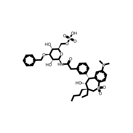 CCCC[C@]1(CC)CS(=O)(=O)c2ccc(N(C)C)cc2[C@@H](c2cccc(CC(=O)N[C@@H]3O[C@H](COS(=O)(=O)O)[C@@H](O)[C@H](OCc4ccccc4)[C@H]3O)c2)[C@H]1O